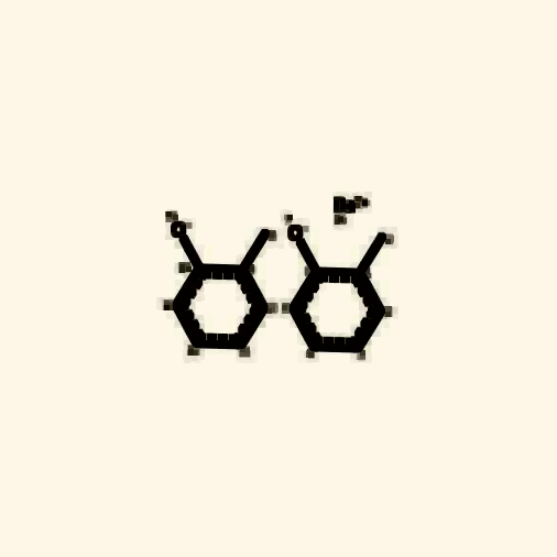 Cc1ccccc1[O-].Cc1ccccc1[O-].[Ba+2]